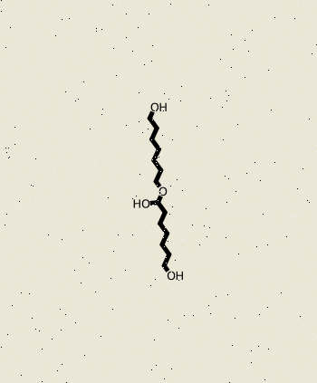 OCCCCCCCOC(O)CCCCCCO